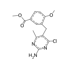 COC(=O)c1ccc(OC)c(Cc2c(C)nc(N)nc2Cl)c1